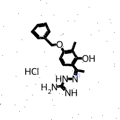 C/C(=N/NC(=N)N)c1ccc(OCc2ccccc2)c(C)c1O.Cl